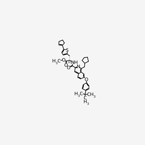 COC(=O)[C@H](Cc1ccc(C2=CCCC2)s1)NC(=O)c1cc2ccc(Oc3ccc(C(C)(C)C)cc3)cc2c(CC2CCCC2)n1